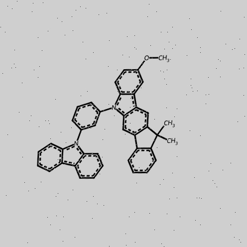 COc1ccc2c(c1)c1cc3c(cc1n2-c1cccc(-n2c4ccccc4c4ccccc42)c1)-c1ccccc1C3(C)C